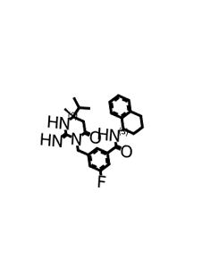 CC(C)[C@]1(C)CC(=O)N(Cc2cc(F)cc(C(=O)N[C@H]3CCCc4ccccc43)c2)C(=N)N1